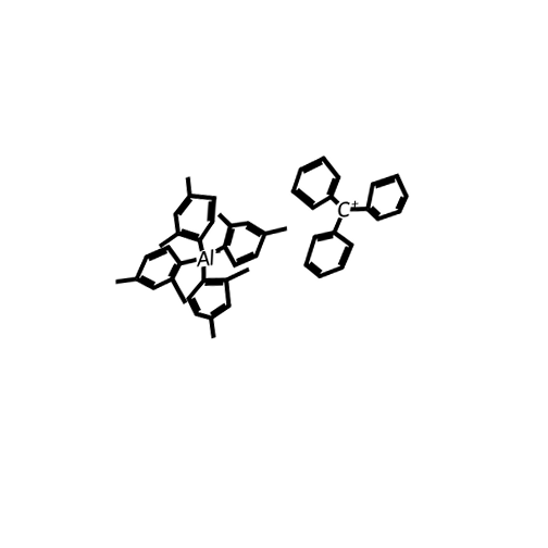 Cc1cc[c]([Al-]([c]2ccc(C)cc2C)([c]2ccc(C)cc2C)[c]2ccc(C)cc2C)c(C)c1.c1ccc([C+](c2ccccc2)c2ccccc2)cc1